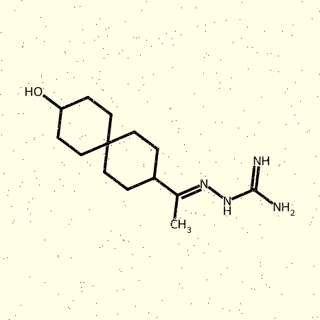 CC(=NNC(=N)N)C1CCC2(CCC(O)CC2)CC1